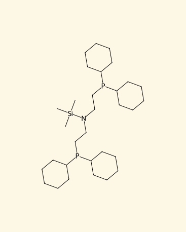 C[Si](C)(C)N(CCP(C1CCCCC1)C1CCCCC1)CCP(C1CCCCC1)C1CCCCC1